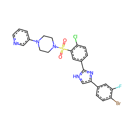 O=S(=O)(c1cc(-c2nc(-c3ccc(Br)c(F)c3)c[nH]2)ccc1Cl)N1CCN(c2cccnc2)CC1